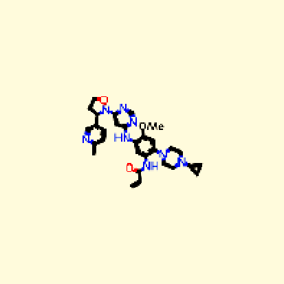 C=CC(=O)Nc1cc(Nc2cc(N3OCCC3c3ccc(C)nc3)ncn2)c(OC)cc1N1CCN(C2CC2)CC1